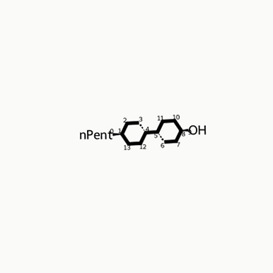 CCCCC[C@H]1CC[C@H]([C@H]2CC[C@H](O)CC2)CC1